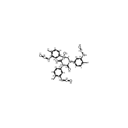 Cc1ccc(N2C[N+]([O-])(c3ccc(C)c(N=C=O)c3)C(=O)N(c3ccc(C)c(N=C=O)c3)C2=O)cc1N=C=O